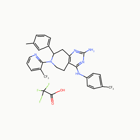 Cc1cccc(C2Cc3nc(N)nc(Nc4ccc(C(F)(F)F)cc4)c3CCN2c2ncccc2C(F)(F)F)c1.O=C(O)C(F)(F)F